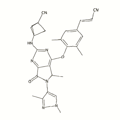 Cc1cc(/C=C/C#N)cc(C)c1Oc1nc(NC23CC(C#N)(C2)C3)nc2c1C(C)N(c1cn(C)nc1C)C2=O